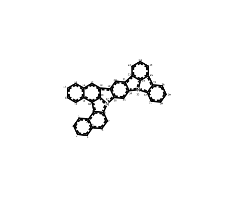 c1ccc2c(c1)ccc1c2c2c3ccccc3cc3c4cc5c6cccc7c8ccccc8n(c5cc4n1c32)c76